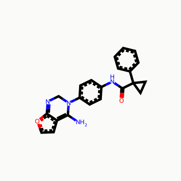 NC1=c2ccoc2=NCN1c1ccc(NC(=O)C2(c3ccccc3)CC2)cc1